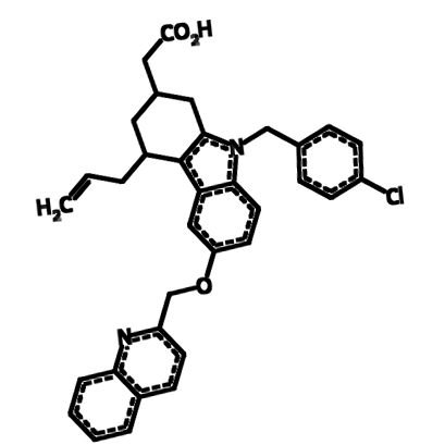 C=CCC1CC(CC(=O)O)Cc2c1c1cc(OCc3ccc4ccccc4n3)ccc1n2Cc1ccc(Cl)cc1